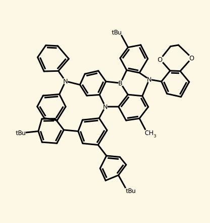 Cc1cc2c3c(c1)N(c1cccc4c1OCCO4)c1ccc(C(C)(C)C)cc1B3c1ccc(N(c3ccccc3)c3ccccc3)cc1N2c1cc(-c2ccc(C(C)(C)C)cc2)cc(-c2ccc(C(C)(C)C)cc2)c1